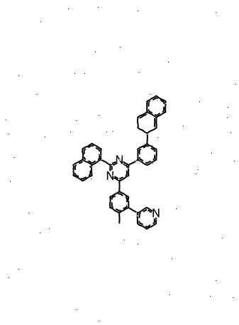 Cc1ccc(-c2cc(-c3cccc(C4C=c5ccccc5=CC4)c3)nc(-c3cccc4ccccc34)n2)cc1-c1cccnc1